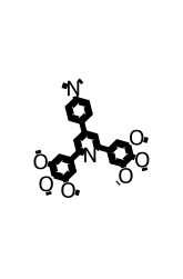 COc1cc(-c2cc(-c3ccc(N(C)C)cc3)cc(-c3cc(OC)c(OC)c(OC)c3)n2)cc(OC)c1OC